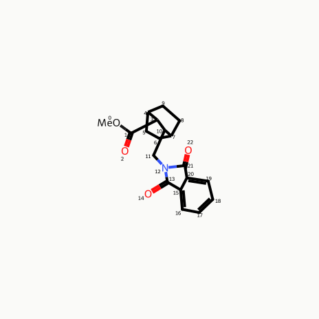 COC(=O)C1C2CCC(CC2)C1CN1C(=O)c2ccccc2C1=O